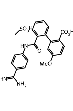 COc1ccc(C(=O)O)c(-c2ccccc2C(=O)Nc2ccc(C(=N)N)cc2)c1.CS(=O)(=O)O